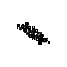 O=S(=O)(O[C@H]1CO[C@H]2[C@@H]1OC[C@@H]2OS(=O)(=O)C(F)(F)F)C(F)(F)F